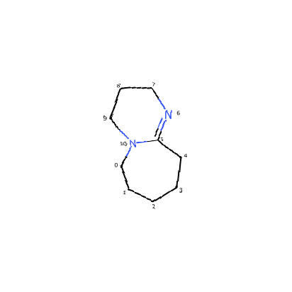 [CH]1CCCCC2=NCCCN12